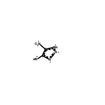 CCCc1nn[nH]c1[N+](=O)[O-]